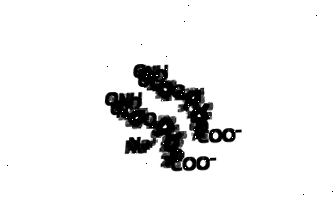 Cc1cc(OC(C)(C)C(=O)[O-])ccc1-c1cccc(COc2ccc(Cn3oc(=O)[nH]c3=O)cc2)c1C.Cc1cc(OC(C)(C)C(=O)[O-])ccc1-c1cccc(COc2ccc(Cn3oc(=O)[nH]c3=O)cc2)c1C.[Na+].[Na+]